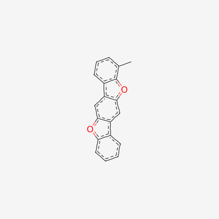 Cc1cccc2c1oc1cc3c(cc12)oc1ccccc13